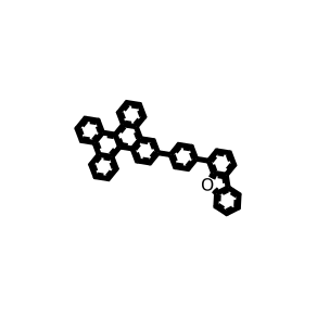 c1ccc2c(c1)oc1c(-c3ccc(-c4ccc5c(c4)c4ccccc4c4c6ccccc6c6ccccc6c54)cc3)cccc12